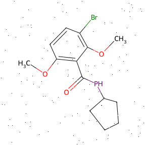 COc1ccc(Br)c(OC)c1C(=O)PC1CCCC1